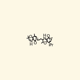 Cc1cn(CCC2Nc3c(c(C(C)C)cn(C)c3=O)OC2C)c(=O)c2c1OC(C)(C)CN2